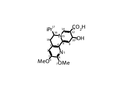 COc1cc2c(nc1OC)C1=CC(O)C(C(=O)O)=CN1C(C(C)C)C2